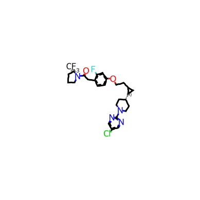 O=C(Cc1ccc(OCCC2C[C@@H]2C2CCN(c3ncc(Cl)cn3)CC2)cc1F)N1CCC[C@@H]1C(F)(F)F